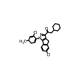 CC1C=C(Cl)C(n2nc(C(=O)CC3CCCCC3)c3c2-c2ccc(Cl)cc2C3)=CC1